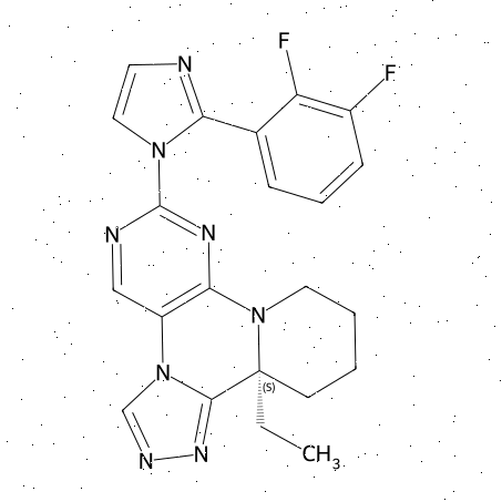 CC[C@@]12CCCCN1c1nc(-n3ccnc3-c3cccc(F)c3F)ncc1-n1cnnc12